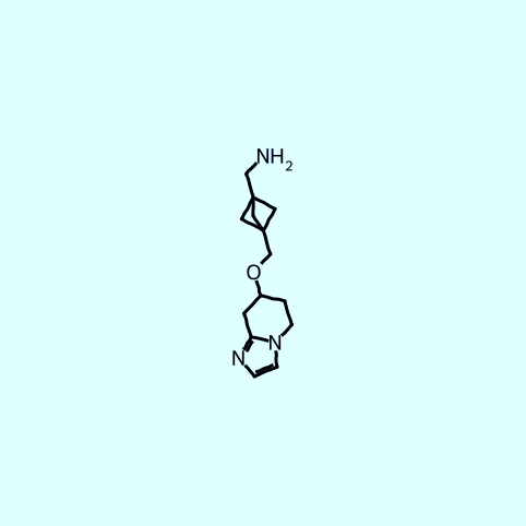 NCC12CC(COC3CCn4ccnc4C3)(C1)C2